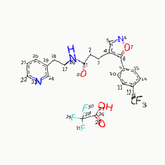 O=C(CCc1cnoc1-c1ccc(C(F)(F)F)cc1)NCCc1cccnc1.O=C(O)C(F)(F)F